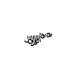 C=Cc1cc2cnc(Nc3ccc(N4CCN(C)CC4)cn3)nc2n1C1(CNC)CCC(CC)CC1